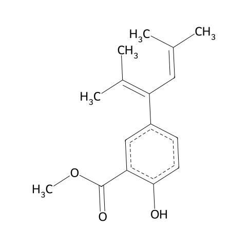 COC(=O)c1cc(C(C=C(C)C)=C(C)C)ccc1O